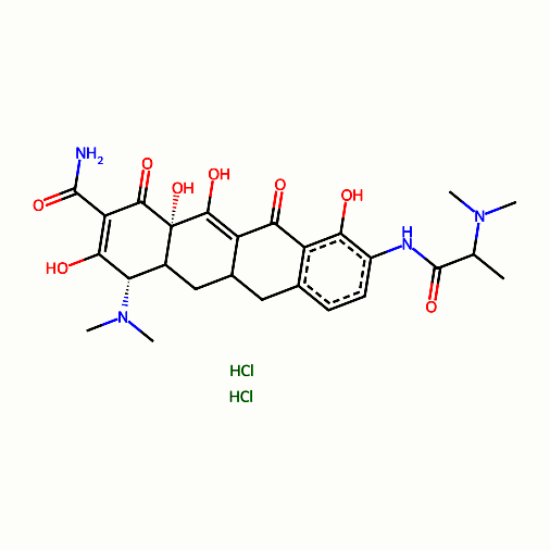 CC(C(=O)Nc1ccc2c(c1O)C(=O)C1=C(O)[C@]3(O)C(=O)C(C(N)=O)=C(O)[C@@H](N(C)C)C3CC1C2)N(C)C.Cl.Cl